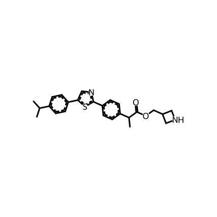 CC(C)c1ccc(-c2cnc(-c3ccc(C(C)C(=O)OCC4CNC4)cc3)s2)cc1